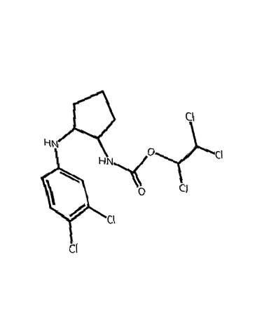 O=C(NC1CCCC1Nc1ccc(Cl)c(Cl)c1)OC(Cl)C(Cl)Cl